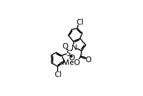 COC(=O)c1cc2cc(Cl)ccc2n1S(=O)(=O)c1cccc(Cl)c1